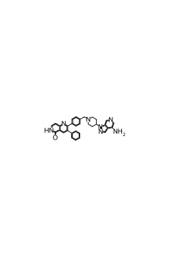 Nc1cncc2c1cnn2C1CCN(Cc2ccc(-c3nc4cc[nH]c(=O)c4cc3-c3ccccc3)cc2)CC1